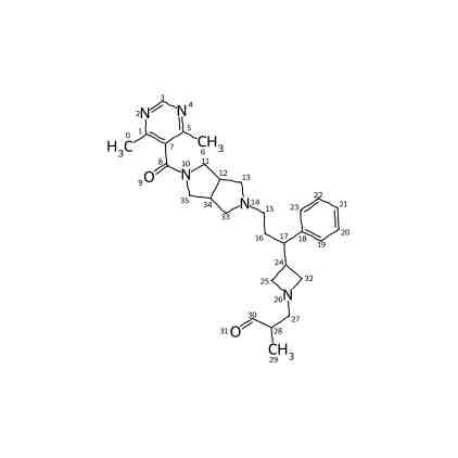 Cc1ncnc(C)c1C(=O)N1CC2CN(CCC(c3ccccc3)C3CN(CC(C)C=O)C3)CC2C1